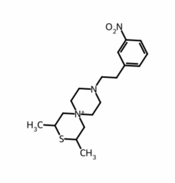 CC1C[N+]2(CCN(CCc3cccc([N+](=O)[O-])c3)CC2)CC(C)S1